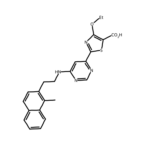 CCOc1nc(-c2cc(NCCc3ccc4ccccc4c3C)ncn2)sc1C(=O)O